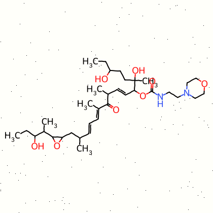 CCC(O)CCC(C)(O)C(/C=C/C(C)C(=O)/C(C)=C/C=C/C(C)CC1OC1C(C)C(O)CC)OC(=O)NCCN1CCOCC1